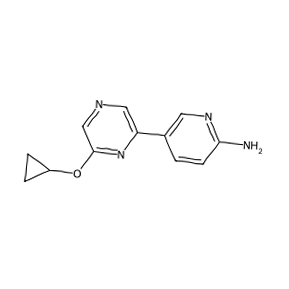 Nc1ccc(-c2cncc(OC3CC3)n2)cn1